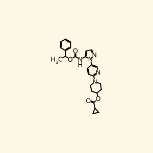 CC(OC(=O)Nc1ccnn1-c1ccc(N2CCC(OC(=O)C3CC3)CC2)nc1)c1ccccc1